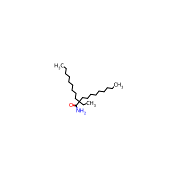 CCCCCCCCCC(CC)(CCCCCCCCC)C(N)=O